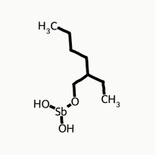 CCCCC(CC)C[O][Sb]([OH])[OH]